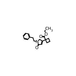 CCOC(=O)C1(C2=CC(=O)N(CCc3ccccc3)C2)CCC1